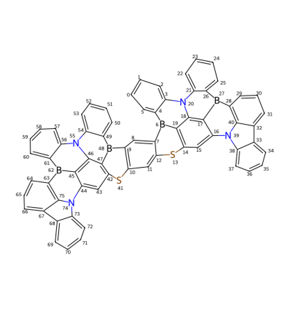 c1ccc2c(c1)B1c3cc4c(cc3Sc3cc5c6c(c31)N2c1ccccc1B6c1cccc2c3ccccc3n-5c12)Sc1cc2c3c5c1B4c1ccccc1N5c1ccccc1B3c1cccc3c4ccccc4n-2c13